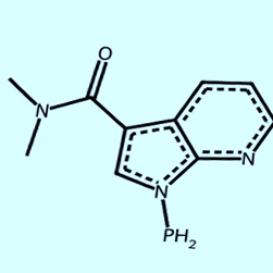 CN(C)C(=O)c1cn(P)c2ncccc12